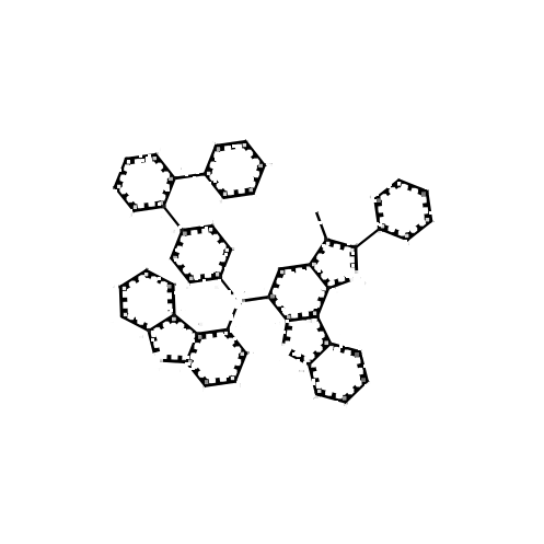 Cc1c(-c2ccccc2)oc2c1cc(N(c1ccc(-c3ccccc3-c3ccccc3)cc1)c1cccc3oc4ccccc4c13)c1oc3ccccc3c12